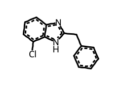 Clc1cccc2nc(Cc3ccccc3)[nH]c12